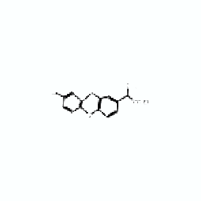 CCOC(=O)C(C)c1ccc2c(c1)Sc1cc(Cl)ccc1S2